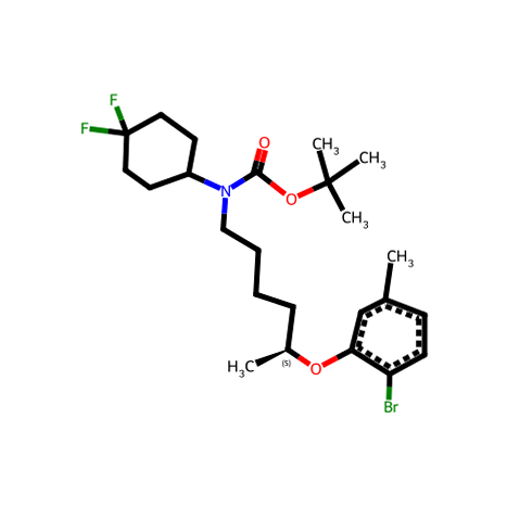 Cc1ccc(Br)c(O[C@@H](C)CCCCN(C(=O)OC(C)(C)C)C2CCC(F)(F)CC2)c1